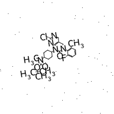 Cc1cccc(F)c1N1Cc2cnc(Cl)nc2N(C2CCC(N(C)C(=O)OC(C)(C)C)CC2)C1=O